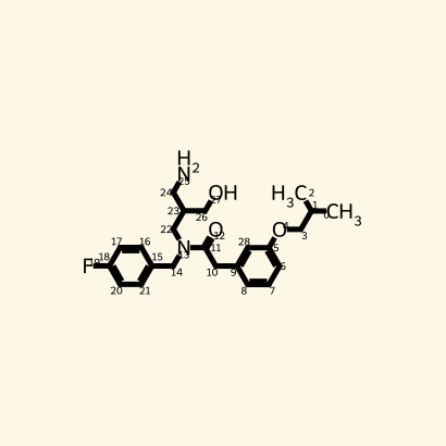 CC(C)COc1cccc(CC(=O)N(Cc2ccc(F)cc2)CC(CN)CO)c1